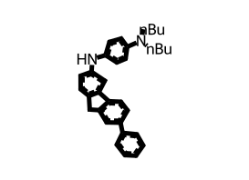 CCCCN(CCCC)c1ccc(Nc2ccc3c(c2)-c2ccc(-c4ccccc4)cc2C3)cc1